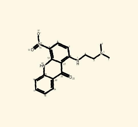 CN(C)CCNc1ccc([N+](=O)[O-])c2[nH]c3ccccc3c(=O)c12